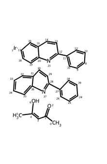 CC(=O)/C=C(/C)O.[Ir].c1ccc(-c2ccc3ccccc3n2)cc1.c1ccc(-c2ccc3ccccc3n2)cc1